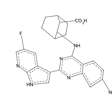 O=C(O)C1C2CCC(CC2)C1Nc1nc(-c2c[nH]c3ncc(F)cc23)nc2cc([N+](=O)[O-])ccc12